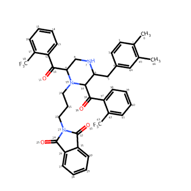 Cc1ccc(CC2NCC(C(=O)c3ccccc3C(F)(F)F)N(CCCN3C(=O)c4ccccc4C3=O)C2C(=O)c2ccccc2C(F)(F)F)cc1C